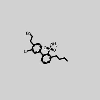 CCCCc1cccc(-c2ccc(CCBr)c(Cl)c2)c1S(N)(=O)=O